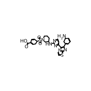 NC1C=CC=C(c2nc3sccn3c2-c2ccnc(NC3CCCN(S(=O)(=O)C4C=CC(C(=O)O)=CC4)C3)n2)C1